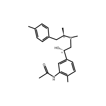 CC(=O)Nc1cc([C@H](O)CN(C)[C@H](C)Cc2ccc(C)cc2)ccc1C